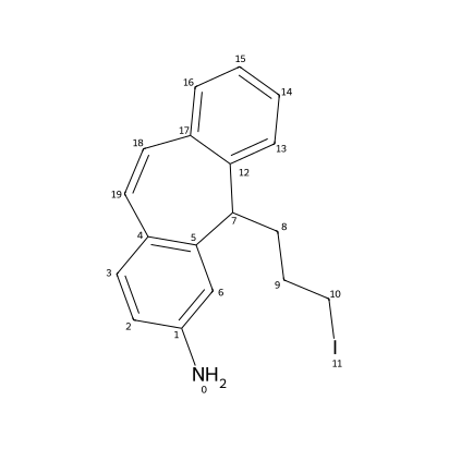 Nc1ccc2c(c1)C(CCCI)c1ccccc1C=C2